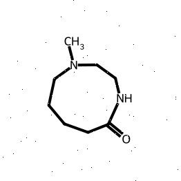 CN1CCCCC(=O)NCC1